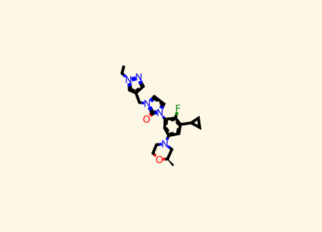 CCn1cc(Cn2ccn(-c3cc(N4CCO[C@H](C)C4)cc(C4CC4)c3F)c2=O)cn1